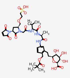 CC(C)[C@H](NC(=O)CN1C(=O)[C@@H](N2C(=O)C=CC2=O)C[C@H]1COCCS(=O)(=O)O)C(=O)N[C@@H](C)C(=O)Nc1ccc(COC(=O)C(C)(C)C)c(CC[C@@H]2O[C@H](C(=O)O)[C@@H](O)[C@H](O)[C@H]2O)c1